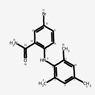 Cc1cc(C)c(Nc2ccc(Br)cc2C(N)=O)c(C)c1